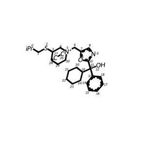 CC(C)CSC1C[N+]2(Cc3cnc([C@](O)(c4ccccc4)C4CCCCC4)o3)CCC1CC2